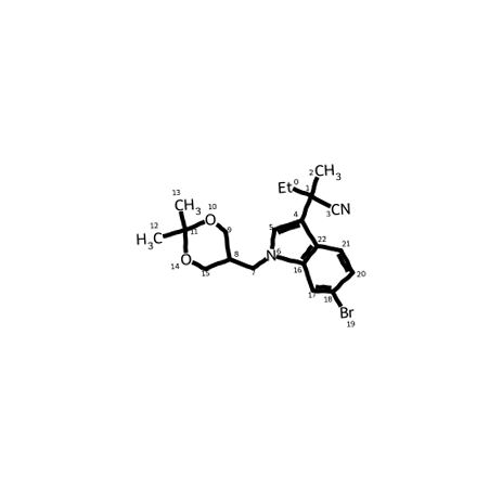 CCC(C)(C#N)c1cn(CC2COC(C)(C)OC2)c2cc(Br)ccc12